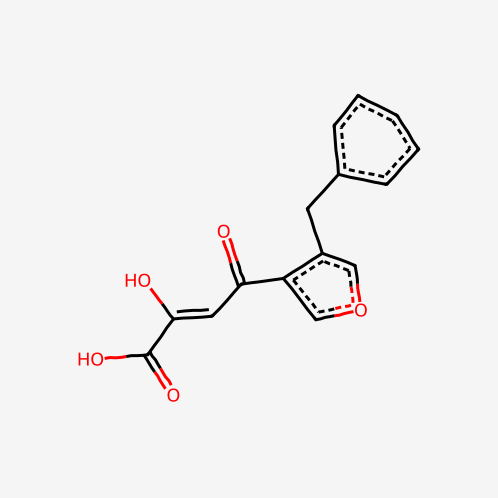 O=C(O)/C(O)=C/C(=O)c1cocc1Cc1ccccc1